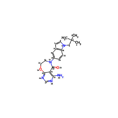 CC(C)(C)Cn1ccc2cc(N3CCOc4ncnc(N)c4C3=O)ccc21